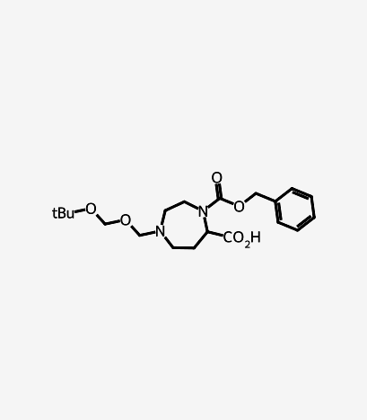 CC(C)(C)OCOCN1CCC(C(=O)O)N(C(=O)OCc2ccccc2)CC1